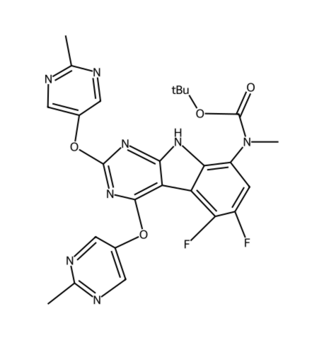 Cc1ncc(Oc2nc(Oc3cnc(C)nc3)c3c(n2)[nH]c2c(N(C)C(=O)OC(C)(C)C)cc(F)c(F)c23)cn1